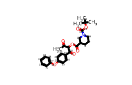 CC(=O)C(OC(=O)C1CCCN(C(=O)OC(C)(C)C)C1)C(=O)c1ccc(Oc2ccccc2)cc1